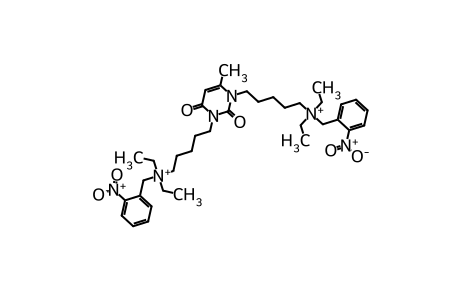 CC[N+](CC)(CCCCCn1c(C)cc(=O)n(CCCCC[N+](CC)(CC)Cc2ccccc2[N+](=O)[O-])c1=O)Cc1ccccc1[N+](=O)[O-]